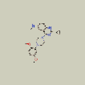 COc1ccc(OC)c(N2CCN(c3nc(C4CC4)nc4ccc(N(C)C)cc34)CC2)c1